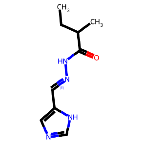 CCC(C)C(=O)N/N=C/c1cnc[nH]1